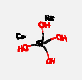 O[Si](O)(O)O.[Ca].[Na]